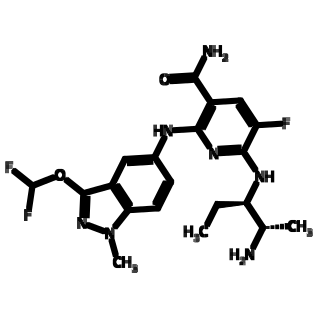 CC[C@@H](Nc1nc(Nc2ccc3c(c2)c(OC(F)F)nn3C)c(C(N)=O)cc1F)[C@H](C)N